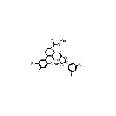 COc1cc(F)c(C(C)C)cc1C1=C(CN2C(=O)O[C@H](c3cc(C)cc(C(F)(F)F)c3)[C@@H]2C)CN(C(=O)OC(C)(C)C)CC1